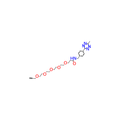 C#CCOCCOCCOCCOCCOCCC(=O)NCc1ccc(-c2nnc(C)nn2)cc1